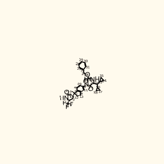 CC1(N2C[C@@H](C(F)(F)F)NC2=O)CCc2cc(NC(=O)[C@@H](NC(=O)OCc3ccccc3)C(C3CC3)C3CC3)ccc21